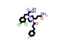 CC(C)NC(=O)C(Cc1ccc(Cl)c(Cl)c1)N1CCN(C(=O)[CH]Cc2ccc(F)cc2)C(CCC(N)=O)C1